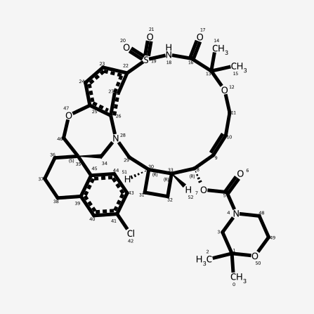 CC1(C)CN(C(=O)O[C@H]2C=CCOC(C)(C)C(=O)NS(=O)(=O)c3ccc4c(c3)N(C[C@@H]3CC[C@H]32)C[C@@]2(CCCc3cc(Cl)ccc32)CO4)CCO1